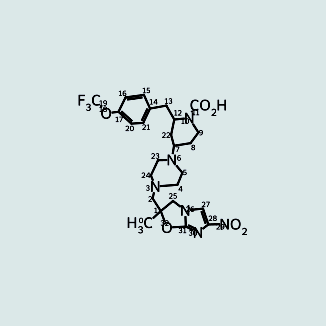 CC1(CN2CCN(C3CCN(C(=O)O)C(Cc4ccc(OC(F)(F)F)cc4)C3)CC2)Cn2cc([N+](=O)[O-])nc2O1